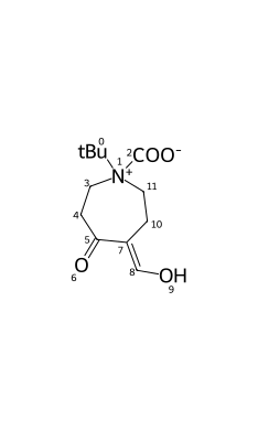 CC(C)(C)[N+]1(C(=O)[O-])CCC(=O)C(=CO)CC1